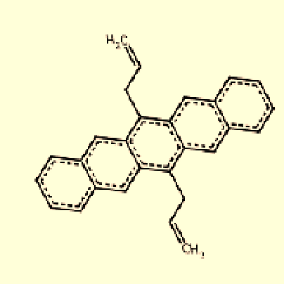 C=CCc1c2cc3ccccc3cc2c(CC=C)c2cc3ccccc3cc12